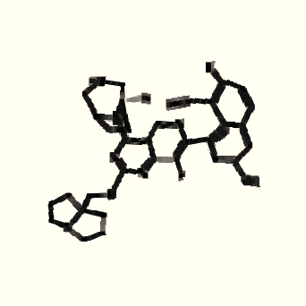 C#Cc1c(F)ccc2cc(O)cc(-c3ncc4c(N5C6CC[C@@H]5CNC6)nc(OCC56CCCN5CCC6)nc4c3F)c12